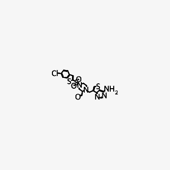 Nc1ncnc2c(CN3CCN(S(=O)(=O)c4cc5ccc(Cl)cc5s4)CC3C=O)csc12